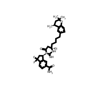 CC[C@@]1(CCCCc2ccc3c(c2)[C@@H](C)CC(C)(C)O3)CC(=O)N([C@@H]2CC(F)(F)c3ccc(C(N)=O)cc32)C(=N)N1